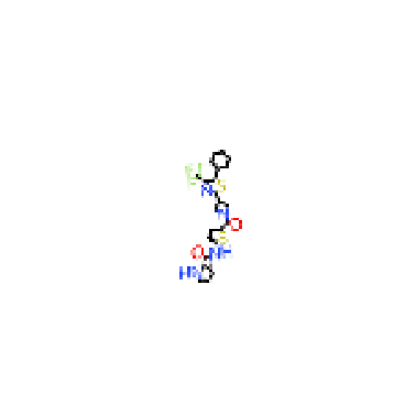 O=C(Nc1ccc(C(=O)N2CC(c3nc(C(F)(F)F)c(-c4ccccc4)s3)C2)s1)[C@@H]1CCCN1